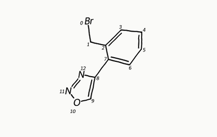 BrCc1ccccc1-c1conn1